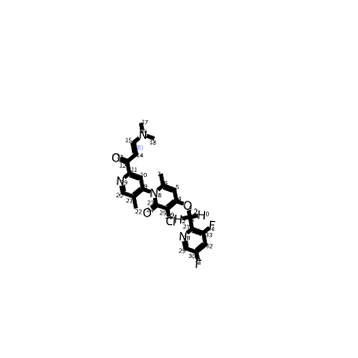 [2H]C([2H])(Oc1cc(C)n(-c2cc(C(=O)/C=C/N(C)C)ncc2C)c(=O)c1Cl)c1ncc(F)cc1F